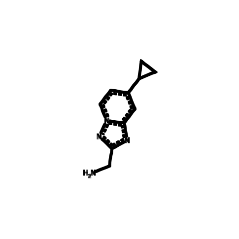 NCc1nc2cc(C3CC3)ccn2n1